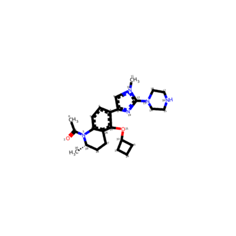 CC(=O)N1c2ccc(-c3cn(C)c(N4CCNCC4)n3)c(OC3CCC3)c2CC[C@@H]1C